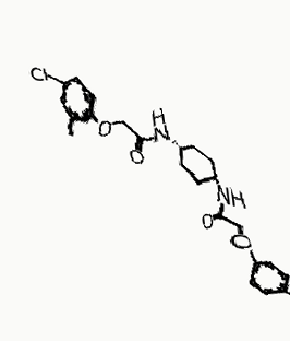 Cc1cc(Cl)ccc1OCC(=O)N[C@H]1CC[C@H](NC(=O)COc2ccc(Cl)cc2)CC1